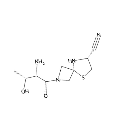 C[C@@H](O)[C@H](N)C(=O)N1CC2(C1)N[C@H](C#N)CS2